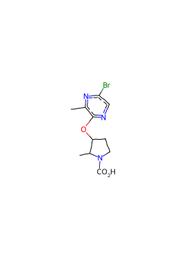 Cc1nc(Br)cnc1OC1CCN(C(=O)O)C1C